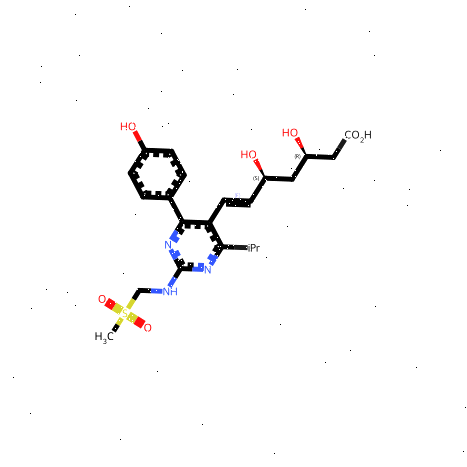 CC(C)c1nc(NCS(C)(=O)=O)nc(-c2ccc(O)cc2)c1/C=C/[C@@H](O)C[C@@H](O)CC(=O)O